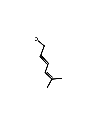 CC(C)=CC=CC[O]